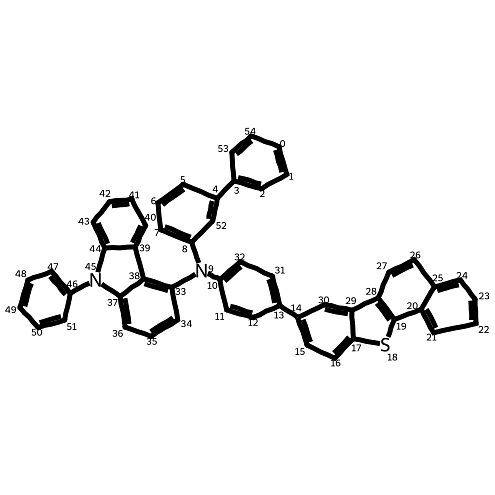 c1ccc(-c2cccc(N(c3ccc(-c4ccc5sc6c7ccccc7ccc6c5c4)cc3)c3cccc4c3c3ccccc3n4-c3ccccc3)c2)cc1